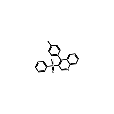 Cc1ccc(-c2c(S(=O)(=O)c3ccccc3)cnc3ccccc23)cc1